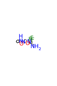 NCc1cc(O[C@H]2CCCN(C(=O)Nc3ccccc3)C2)nc(C(F)(F)F)c1